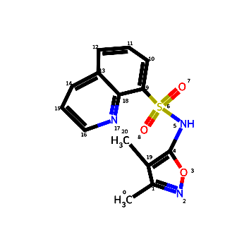 Cc1noc(NS(=O)(=O)c2cccc3cccnc23)c1C